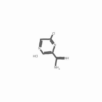 Cl.N=C(N)c1cncc(Cl)n1